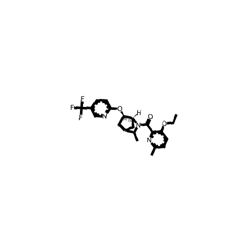 CCOc1ccc(C)nc1C(=O)N1C(C)C2C[C@@H](Oc3ccc(C(F)(F)F)cn3)[C@@H]1C2